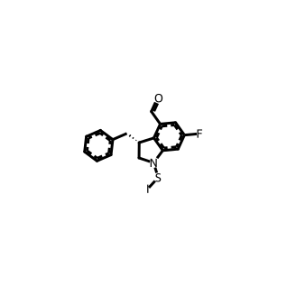 O=Cc1cc(F)cc2c1[C@@H](Cc1ccccc1)CN2SI